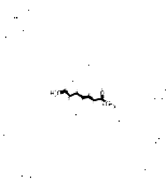 C=CCCCCCC(C)=O